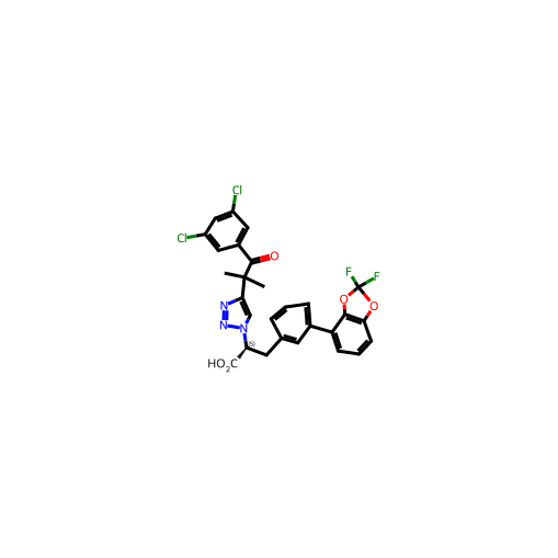 CC(C)(C(=O)c1cc(Cl)cc(Cl)c1)c1cn([C@@H](Cc2cccc(-c3cccc4c3OC(F)(F)O4)c2)C(=O)O)nn1